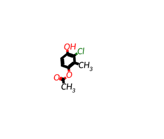 CC(=O)Oc1ccc(O)c(Cl)c1C